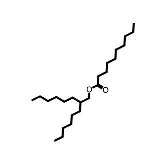 CCCCCCCCCC(=O)OCC(CCCCCC)CCCCCC